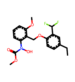 CCc1ccc(OCc2c(OC)cccc2N(O)C(=O)OC)c(C(F)F)c1